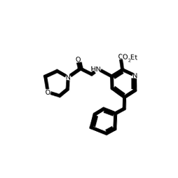 CCOC(=O)c1ncc(Cc2ccccc2)cc1NCC(=O)N1CCOCC1